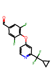 O=Cc1cc(F)c(Oc2ccnc(C(F)(F)C3CC3)c2)c(F)c1